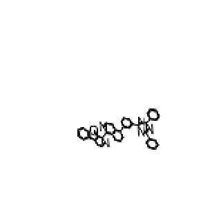 c1ccc(-c2nc(-c3ccccc3)nc(-c3cccc(-c4cccc5c(-c6nccc7c6oc6ccccc67)nccc45)c3)n2)cc1